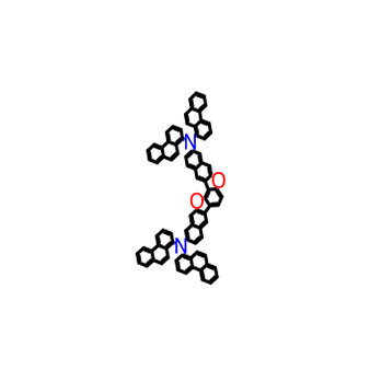 c1ccc2c(c1)ccc1c(N(c3ccc4cc5c(cc4c3)oc3c5ccc4oc5cc6cc(N(c7cccc8c7ccc7ccccc78)c7cccc8c7ccc7ccccc78)ccc6cc5c43)c3cccc4c3ccc3ccccc34)cccc12